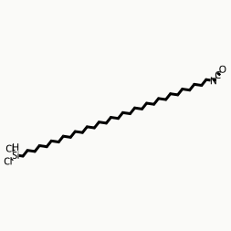 O=C=NCCCCCCCCCCCCCCCCCCCCCCCCCCCCCCCC[SiH](Cl)Cl